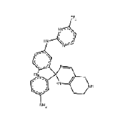 CCc1ccc(Nc2nccc(C(F)(F)F)n2)cc1C1(c2cc(N)ccn2)N=CC2=C(CCNC2)N1